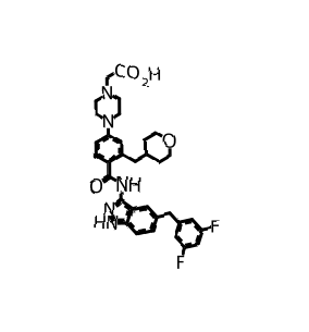 O=C(O)CN1CCN(c2ccc(C(=O)Nc3n[nH]c4ccc(Cc5cc(F)cc(F)c5)cc34)c(CC3CCOCC3)c2)CC1